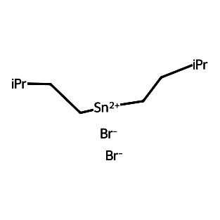 CC(C)C[CH2][Sn+2][CH2]CC(C)C.[Br-].[Br-]